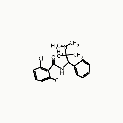 CN(C)C(C)(C)C(NC(=O)c1c(Cl)cccc1Cl)c1ccccc1